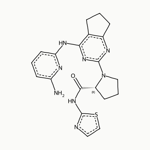 Nc1cccc(Nc2nc(N3CCC[C@@H]3C(=O)Nc3nccs3)nc3c2CCC3)n1